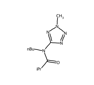 CCCCN(C(=O)C(C)C)c1nnn(C)n1